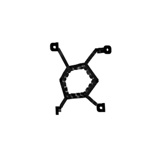 O=Cc1cc(Cl)c(F)cc1Cl